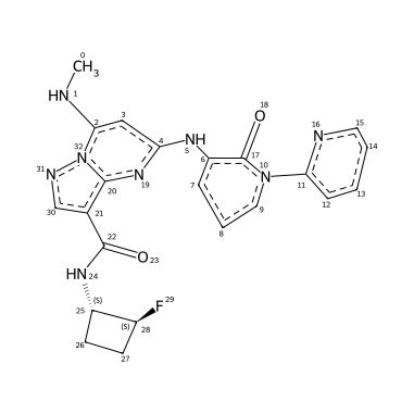 CNc1cc(Nc2cccn(-c3ccccn3)c2=O)nc2c(C(=O)N[C@H]3CC[C@@H]3F)cnn12